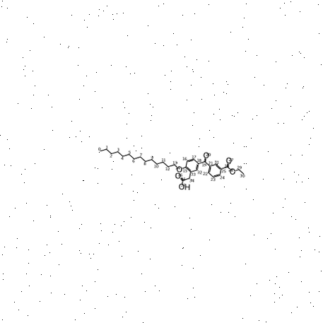 CCCCCCCCCCCCCCOc1ccc(C(=O)c2cccc(C(=O)OCC)c2)cc1CC(=O)O